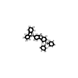 c1ccc(N(c2ccccc2)c2ccc3sc4cc(-n5c6ccccc6c6ccccc65)ccc4c3c2)cc1